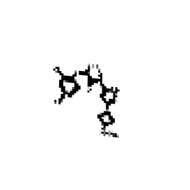 CC(=O)N[C@H]1C[C@@H](c2cc(NC(=O)C(C)Oc3ccc(Cl)cc3Cl)[nH]n2)C1